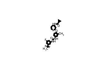 Cc1cc(NC(=O)Nc2cc(F)cc(C(C)(F)F)c2)ccc1OC1=NC=CCC(NC(=O)C2CC2)=C1